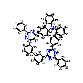 c1ccc(-c2nc(-c3cccc(-c4cccc(-c5nc(-c6ccccc6)nc(-c6ccccc6)n5)c4)c3)cc(-c3ccc4c(c3)c3ccccc3n4-c3ccccc3)n2)cc1